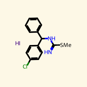 CSC(=N)NC(c1ccccc1)c1ccc(Cl)cc1.I